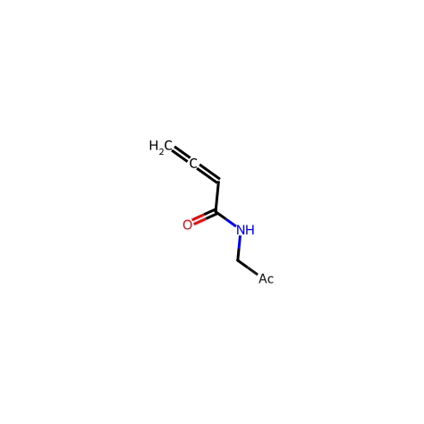 C=C=CC(=O)NCC(C)=O